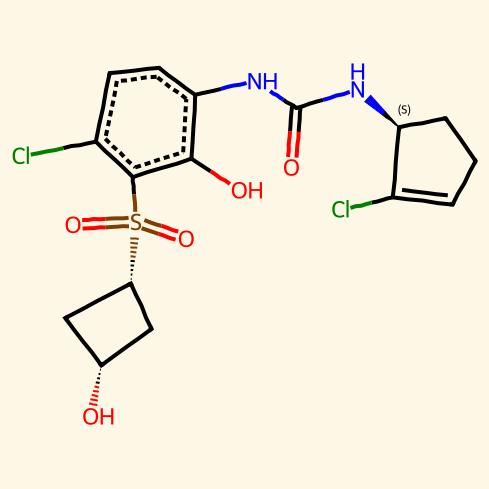 O=C(Nc1ccc(Cl)c(S(=O)(=O)[C@H]2C[C@@H](O)C2)c1O)N[C@H]1CCC=C1Cl